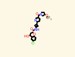 O=C(NC12CC(c3ccc(C(=O)N4CC[C@H](OC(F)(F)F)C4)cn3)(C1)C2)[C@H]1C[C@@H](O)c2cc(Cl)ccc2O1